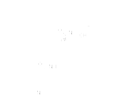 CC(CCCCCCNC(=O)/C=C/c1cccnc1)N([SH](=O)=O)C1(CCF)CCCCC1